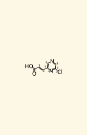 O=C(O)/C=C/c1cncc(Cl)n1